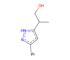 CC(C)c1cc(C(C)CO)[nH]n1